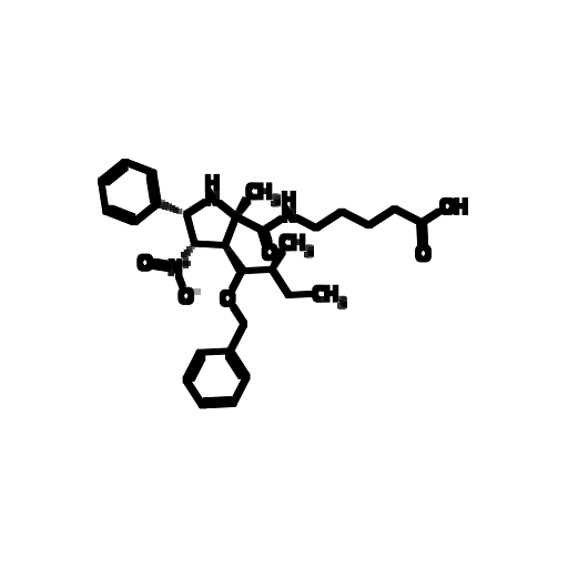 CC[C@H](C)C(OCc1ccccc1)[C@H]1[C@H]([N+](=O)[O-])[C@H](c2ccccc2)N[C@]1(C)C(=O)NCCCCC(=O)O